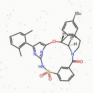 Cc1cccc(C)c1-c1cc2nc(n1)NS(=O)(=O)c1cccc(c1)C(=O)N1CCc3cc(C(C)(C)C)ccc3[C@@H](O2)[C@H]1CC(C)C